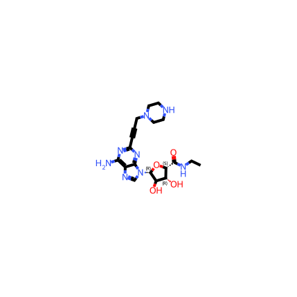 CCNC(=O)[C@H]1O[C@@H](n2cnc3c(N)nc(C#CCN4CCNCC4)nc32)C(O)[C@H]1O